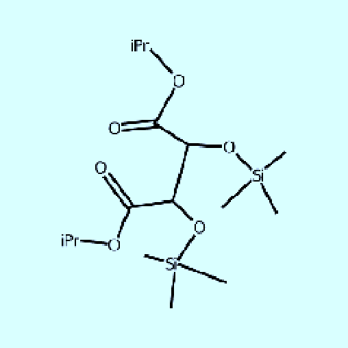 CC(C)OC(=O)C(O[Si](C)(C)C)C(O[Si](C)(C)C)C(=O)OC(C)C